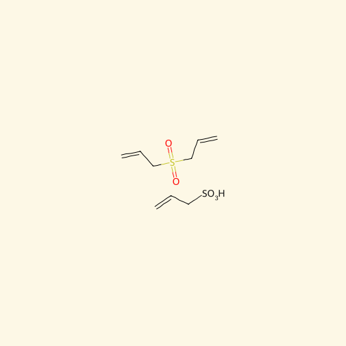 C=CCS(=O)(=O)CC=C.C=CCS(=O)(=O)O